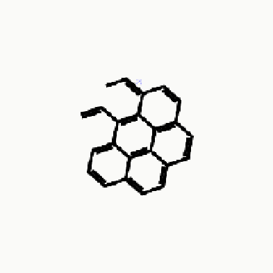 C=Cc1c2cccc3ccc4ccc5cc/c(=C/C)c1c5c4c32